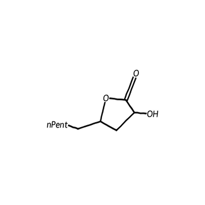 CCCCCCC1CC(O)C(=O)O1